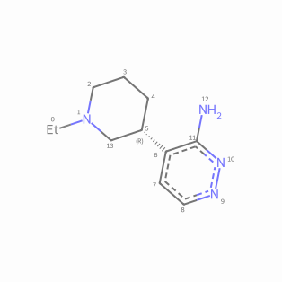 CCN1CCC[C@H](c2ccnnc2N)C1